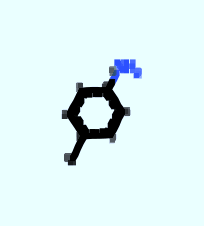 [CH]c1ccc(N)cc1